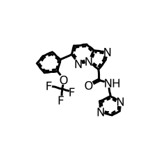 O=C(Nc1cnccn1)c1cnc2ccc(-c3ccccc3OC(F)(F)F)nn12